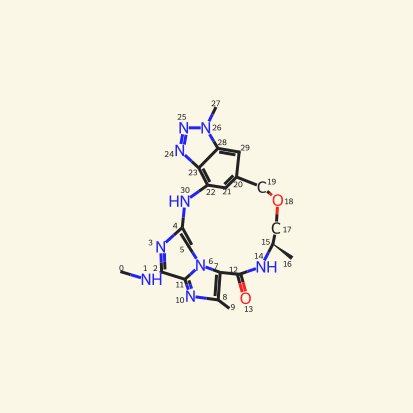 CNc1nc2cn3c(c(C)nc13)C(=O)N[C@H](C)COCc1cc(c3nnn(C)c3c1)N2